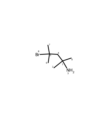 CC(C)(N)CC(C)(C)Br